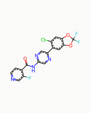 O=C(Nc1cnc(-c2cc3c(cc2Cl)OC(F)(F)O3)cn1)c1ccncc1F